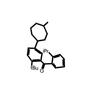 CC1CCCC(c2ccc(C(C)(C)C)c(C(=O)c3ccccc3C(C)C)c2)CC1